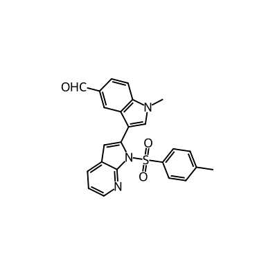 Cc1ccc(S(=O)(=O)n2c(-c3cn(C)c4ccc(C=O)cc34)cc3cccnc32)cc1